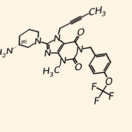 CC#CCn1c(N2CCC[C@@H](N)C2)nc2c1c(=O)n(Cc1ccc(OC(F)(F)F)cc1)c(=O)n2C